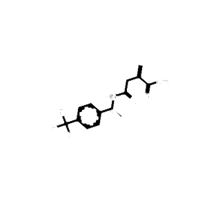 C=C(CC(=O)N[C@@H](C)c1ccc(C(F)(F)F)cc1)C(=O)O